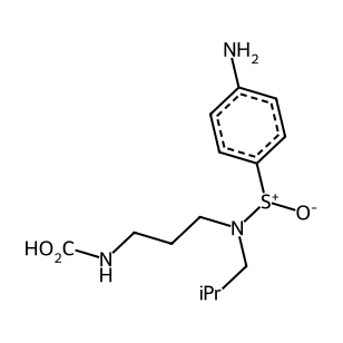 CC(C)CN(CCCNC(=O)O)[S+]([O-])c1ccc(N)cc1